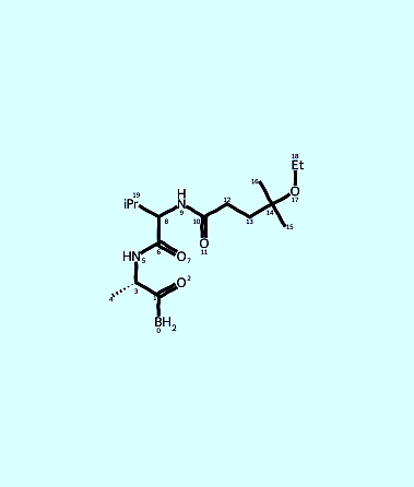 BC(=O)[C@H](C)NC(=O)C(NC(=O)CCC(C)(C)OCC)C(C)C